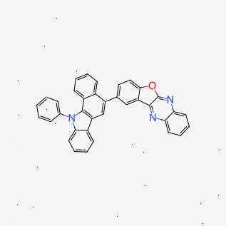 c1ccc(-n2c3ccccc3c3cc(-c4ccc5oc6nc7ccccc7nc6c5c4)c4ccccc4c32)cc1